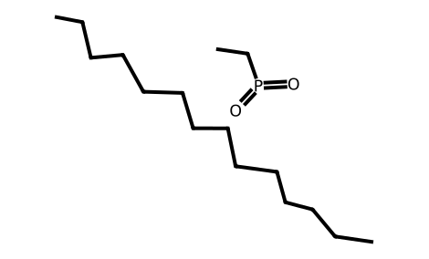 CCCCCCCCCCCCCC.CCP(=O)=O